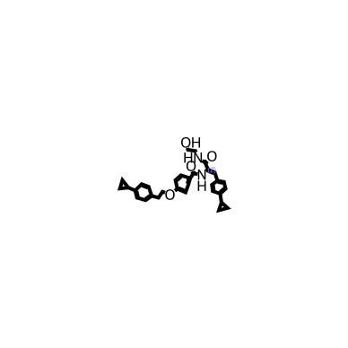 O=C(NCCO)/C(=C/c1ccc(C2CC2)cc1)NC(=O)c1ccc(OCCc2ccc(C3CC3)cc2)cc1